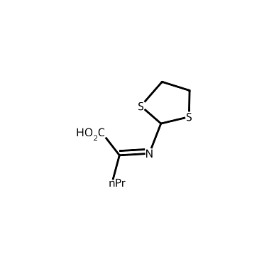 CCCC(=NC1SCCS1)C(=O)O